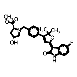 COC(=O)[C@@H]1C[C@@H](O)CN1Cc1ccc(C2=C/C(=C3\C(=O)Nc4ccc(F)cc43)OC2(C)C)cc1